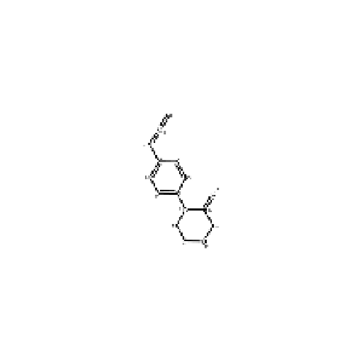 C=C=Nc1ccc(N2CCOCC2=O)cc1